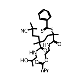 CCCC(=O)OCCNC(=O)C(C)(CCC(C)(CCC(C)(C)C#N)C(=O)NCC(C)O)SC(=S)c1ccccc1